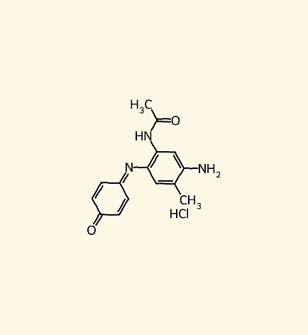 CC(=O)Nc1cc(N)c(C)cc1N=C1C=CC(=O)C=C1.Cl